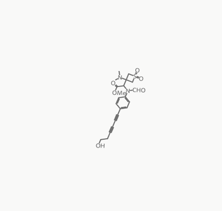 COC(=O)C(N(C=O)c1ccc(C#CC#CCCO)cc1)C1(N(C)C)CS(=O)(=O)C1